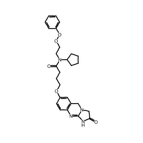 O=C1CN2Cc3cc(OCCCC(=O)N(CCOOc4ccccc4)C4CCCC4)ccc3N=C2N1